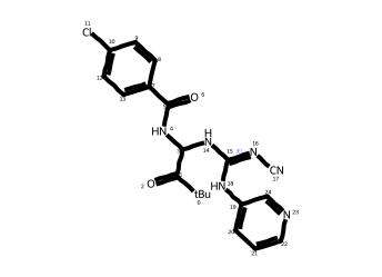 CC(C)(C)C(=O)C(NC(=O)c1ccc(Cl)cc1)N/C(=N/C#N)Nc1cccnc1